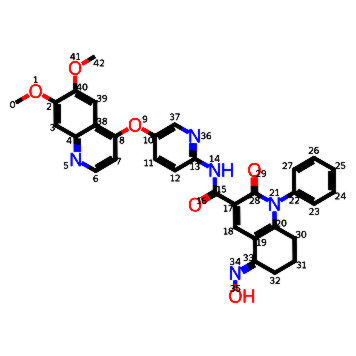 COc1cc2nccc(Oc3ccc(NC(=O)c4cc5c(n(-c6ccccc6)c4=O)CCC/C5=N\O)nc3)c2cc1OC